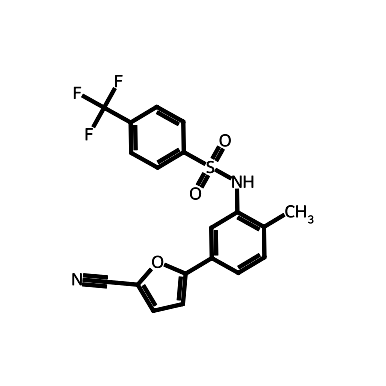 Cc1ccc(-c2ccc(C#N)o2)cc1NS(=O)(=O)c1ccc(C(F)(F)F)cc1